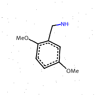 COc1ccc(OC)c(C[NH])c1